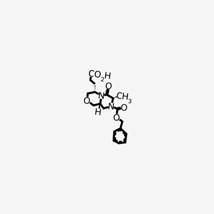 C[C@H]1C(=O)N2[C@@H](CCC(=O)O)COC[C@H]2CN1C(=O)OCc1ccccc1